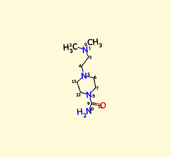 CN(C)CCN1CCN(C(N)=O)CC1